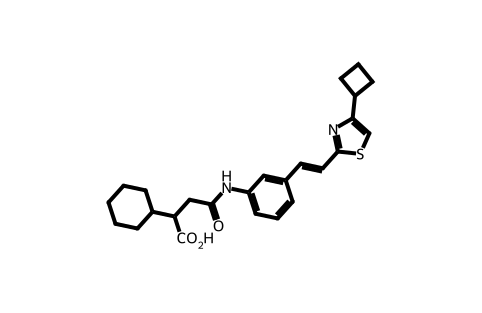 O=C(CC(C(=O)O)C1CCCCC1)Nc1cccc(C=Cc2nc(C3CCC3)cs2)c1